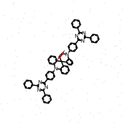 c1ccc(-c2nc(-c3ccccc3)nc(-c3ccc(N4c5ccccc5C5(c6ccccc64)c4ccccc4N(c4ccc(-c6nc(-c7ccccc7)nc(-c7ccccc7)n6)cc4)c4ccccc45)cc3)n2)cc1